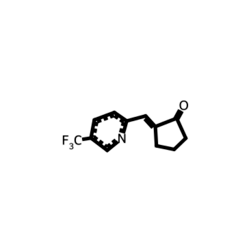 O=C1CCC/C1=C\c1ccc(C(F)(F)F)cn1